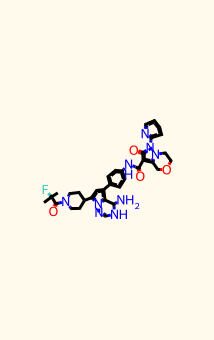 CC(C)(F)C(=O)N1CCC(c2cc(-c3ccc(NC(=O)c4c5n(n(-c6ccccn6)c4=O)CCOC5)cc3)c3n2N=CNC3N)CC1